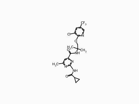 Cc1cc(C(=O)NC(C)(C)COc2ncc(C(F)(F)F)cc2Cl)nc(NC(=O)C2CC2)n1